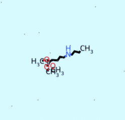 CCCCNCCCC[Si](OC)(OC)OC